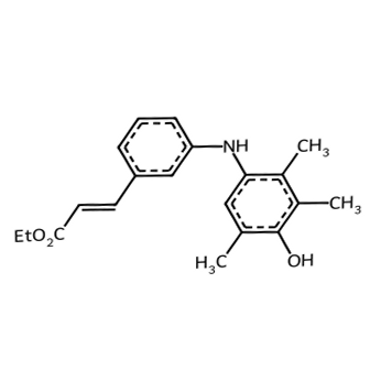 CCOC(=O)/C=C/c1cccc(Nc2cc(C)c(O)c(C)c2C)c1